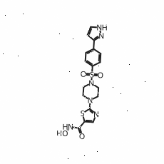 O=C(NO)c1cnc(N2CCN(S(=O)(=O)c3ccc(-c4cc[nH]n4)cc3)CC2)s1